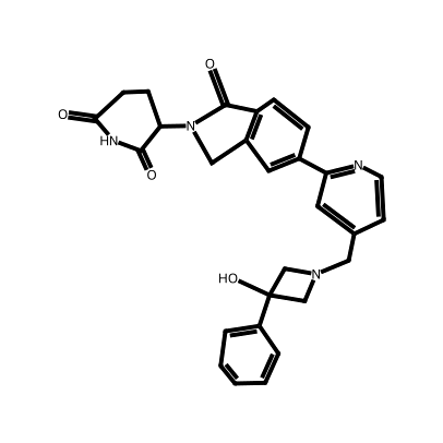 O=C1CCC(N2Cc3cc(-c4cc(CN5CC(O)(c6ccccc6)C5)ccn4)ccc3C2=O)C(=O)N1